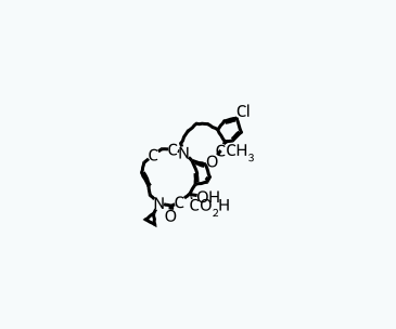 CC12C=CC(Cl)=CC1CCCCN1CCCC/C=C/CN(C3CC3)C(=O)C[C@@](O)(C(=O)O)c3ccc(c1c3)OC2